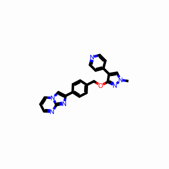 Cn1cc(-c2ccncc2)c(OCc2ccc(-c3cn4cccnc4n3)cc2)n1